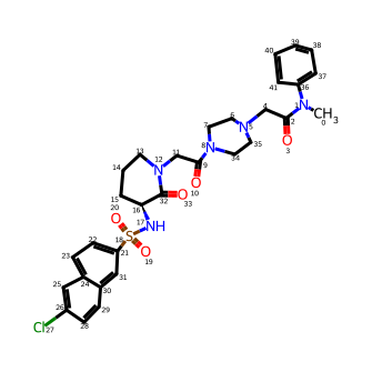 CN(C(=O)CN1CCN(C(=O)CN2CCC[C@H](NS(=O)(=O)c3ccc4cc(Cl)ccc4c3)C2=O)CC1)c1ccccc1